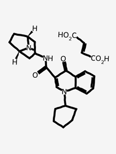 CN1[C@@H]2CC[C@H]1CC(NC(=O)c1cn(C3CCCCC3)c3ccccc3c1=O)C2.O=C(O)C=CC(=O)O